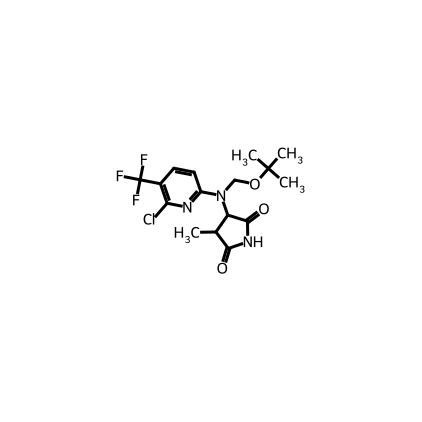 CC1C(=O)NC(=O)C1N(COC(C)(C)C)c1ccc(C(F)(F)F)c(Cl)n1